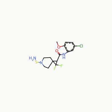 COc1ccc(Cl)cc1NC(=O)C1C(F)(F)C12CCN(SN)CC2